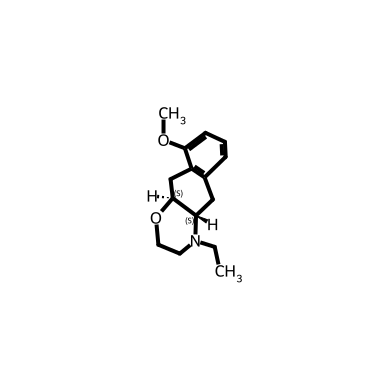 CCN1CCO[C@H]2Cc3c(cccc3OC)C[C@@H]21